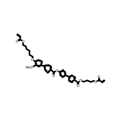 C=CC(=O)OCCCCCCOc1ccc(-c2ccc(C(=O)Oc3ccc(-c4ccc(C(=O)OCCCCOC(=O)C=C)cc4)cc3)cc2)cc1OC